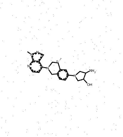 C[C@H]1CN(c2ccnc3c2cnn3C)Cc2ccc(N3CC(N)C(O)C3)cc21